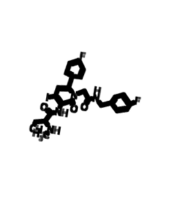 CCC(NC)C(=O)Nc1c(I)cc(-c2ccc(F)cc2)n(CC(=O)NCc2ccc(F)cc2)c1=O